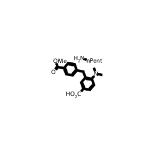 CCCCCN.COC(=O)c1ccc(Cc2cc(C(=O)O)ccc2N(C)C)cc1